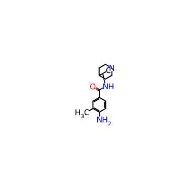 Cc1cc(C(=O)NC2CN3CCC2CC3)ccc1N